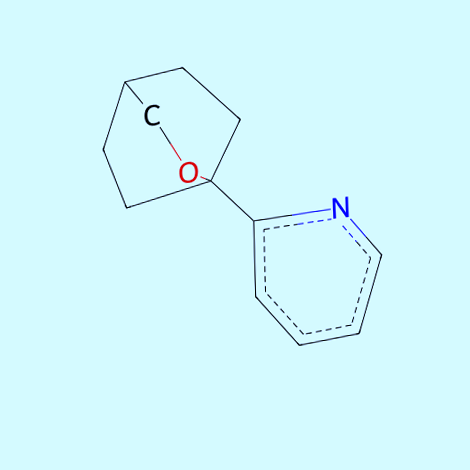 c1ccc(C23CCC(CC2)CO3)nc1